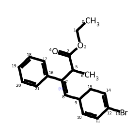 CCOC(=O)C(C)/C(=C\C1C=CC(Br)=CC1)c1ccccc1